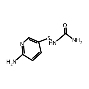 NC(=O)NSc1ccc(N)nc1